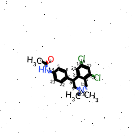 CC(=O)Nc1ccc(C2C[N+](C)(C)Cc3c(Cl)cc(Cl)cc32)cc1